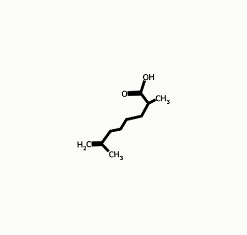 C=C(C)CCCCC(C)C(=O)O